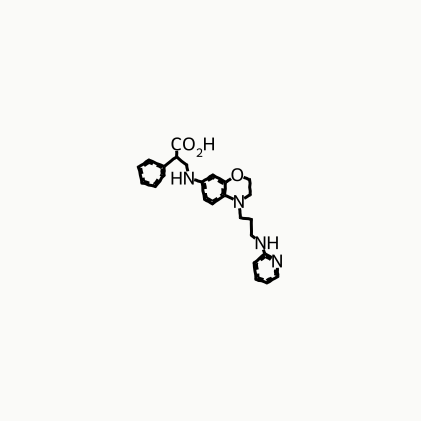 O=C(O)C(CNc1ccc2c(c1)OCCN2CCCNc1ccccn1)c1ccccc1